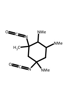 CNC1CC(N=C=O)(NC)CC(C)(N=C=O)C1NC